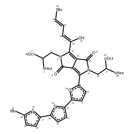 CCCCCCCCC(CCCCCC)CN1C(=O)C2=C(c3ccc(-c4ccc(-c5ccc(C(C)(C)C)s5)s4)o3)N(CC(CCCCCC)CCCCCCCC)C(=O)C2=C1/C(O)=C/C=C/C(C)(C)C